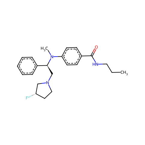 CCCNC(=O)c1ccc(N(C)[C@@H](CN2CC[C@H](F)C2)c2ccccc2)cc1